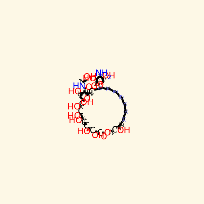 C[C@@H](CO)NC(=O)[C@H]1[C@@H]2CC(O[C@@H]3OC[C@@H](O)[C@H](N)[C@@H]3O)/C=C/C=C/C=C/C=C/C=C/C=C/C=C/[C@H](C)[C@@H](O)C[C@H](C)OC(=O)CC(O)CC(O)CC[C@@H](O)C(O)CC(O)CC(O)(C[C@@H]1O)O2